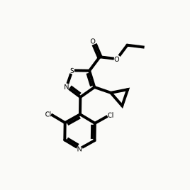 CCOC(=O)c1snc(-c2c(Cl)cncc2Cl)c1C1CC1